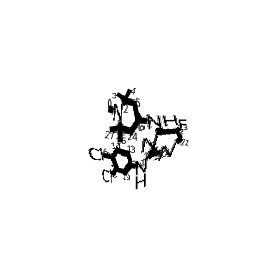 CN1C(C)(C)CC(Nc2nc(Nc3ccc(Cl)c(Cl)c3)ncc2F)CC1(C)C